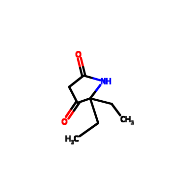 CCC1(CC)NC(=O)CC1=O